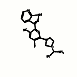 CC(C)C(N)[C@H]1CCN(c2nc(-c3n[nH]c4ncccc34)c(C#N)cc2F)C1